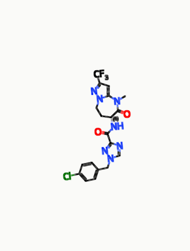 CN1C(=O)[C@H](NC(=O)c2ncn(Cc3ccc(Cl)cc3)n2)CCn2nc(C(F)(F)F)cc21